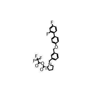 O=C(OC(=O)C(F)(F)F)[C@@H]1CCCN1Cc1cccc(COc2ccc(-c3ccc(F)cc3F)cc2)c1